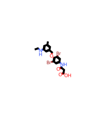 CCNc1cc(C)cc(COc2c(Br)cc(NC(=O)CC(=O)O)cc2Br)c1